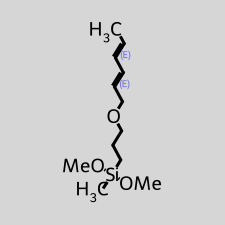 C/C=C/C=C/COCCC[Si](C)(OC)OC